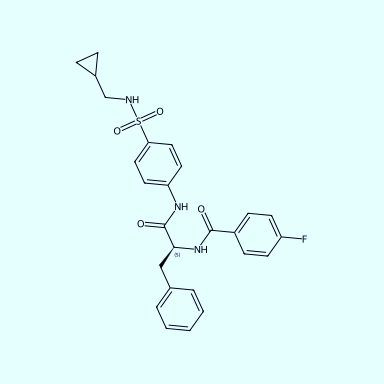 O=C(N[C@@H](Cc1ccccc1)C(=O)Nc1ccc(S(=O)(=O)NCC2CC2)cc1)c1ccc(F)cc1